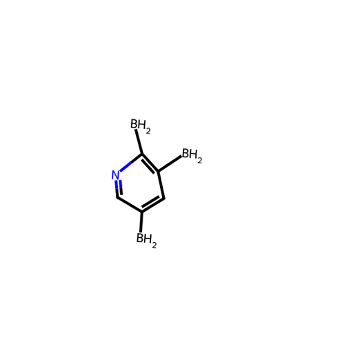 Bc1cnc(B)c(B)c1